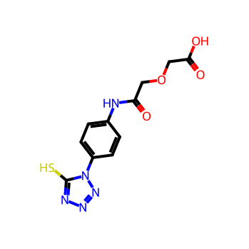 O=C(O)COCC(=O)Nc1ccc(-n2nnnc2S)cc1